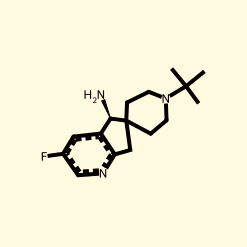 CC(C)(C)N1CCC2(CC1)Cc1ncc(F)cc1[C@H]2N